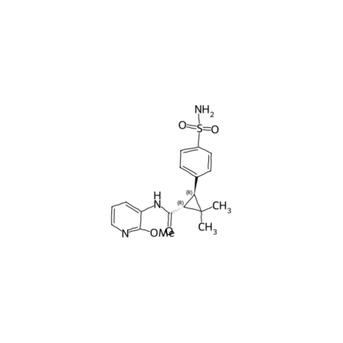 COc1ncccc1NC(=O)[C@@H]1[C@@H](c2ccc(S(N)(=O)=O)cc2)C1(C)C